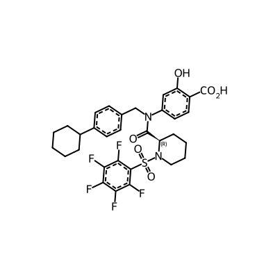 O=C(O)c1ccc(N(Cc2ccc(C3CCCCC3)cc2)C(=O)[C@H]2CCCCN2S(=O)(=O)c2c(F)c(F)c(F)c(F)c2F)cc1O